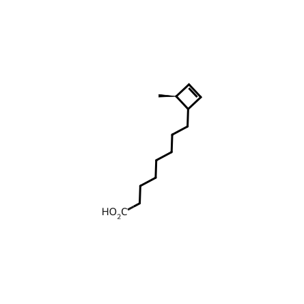 C[C@H]1C=CC1CCCCCCCC(=O)O